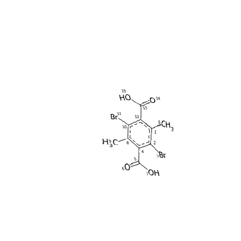 Cc1c(Br)c(C(=O)O)c(C)c(Br)c1C(=O)O